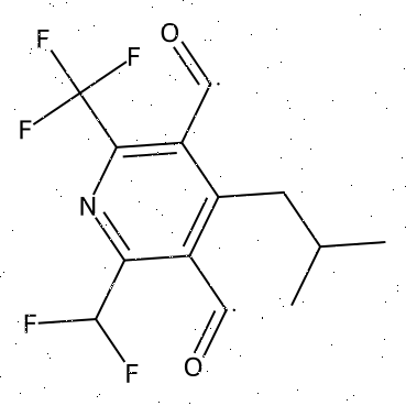 CC(C)Cc1c([C]=O)c(C(F)F)nc(C(F)(F)F)c1[C]=O